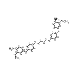 CCc1cc(Cc2ccc(CCCCCCc3ccc(Cc4ccc(N)c(CC)c4)cc3)cc2)ccc1N